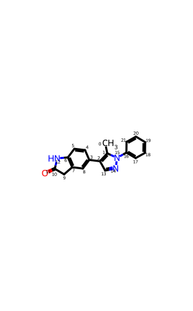 Cc1c(-c2ccc3c(c2)CC(=O)N3)cnn1-c1ccccc1